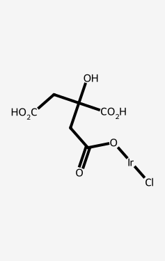 O=C(O)CC(O)(CC(=O)[O][Ir][Cl])C(=O)O